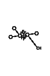 C#CC#CC#CC#Cc1cc(C(c2ccc(C#Cc3ccccc3)c(C#Cc3ccccc3)c2)(C(F)(F)F)C(F)(F)F)ccc1C#Cc1ccccc1